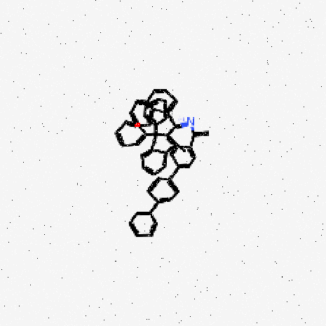 C=C(/N=C(\C1=C(C)c2ccccc2C1(c1ccccc1)c1ccccc1)c1cccc2ccccc12)c1ccc(-c2ccc(-c3ccccc3)cc2)cc1